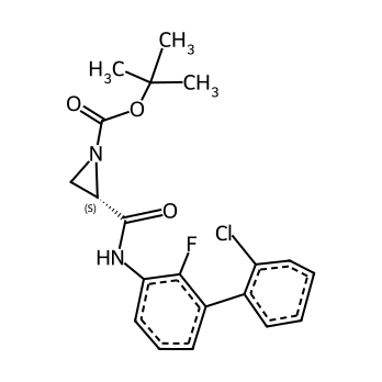 CC(C)(C)OC(=O)N1C[C@H]1C(=O)Nc1cccc(-c2ccccc2Cl)c1F